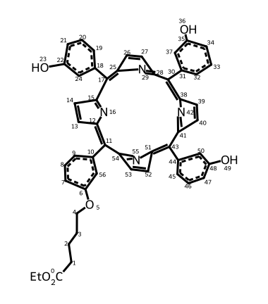 CCOC(=O)CCCCOc1cccc(C2=C3C=CC(=N3)C(c3cccc(O)c3)=C3C=CC(=N3)C(c3cccc(O)c3)=C3C=CC(=N3)C(c3cccc(O)c3)=C3C=CC2=N3)c1